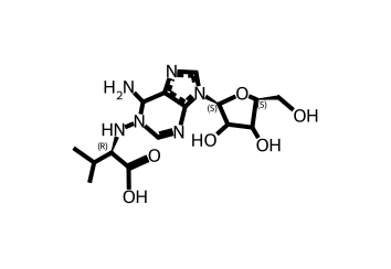 CC(C)[C@@H](NN1C=Nc2c(ncn2[C@H]2O[C@@H](CO)C(O)C2O)C1N)C(=O)O